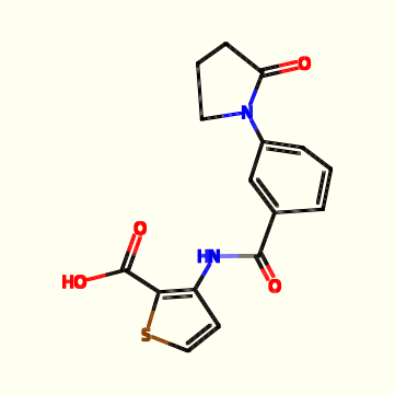 O=C(Nc1ccsc1C(=O)O)c1cccc(N2CCCC2=O)c1